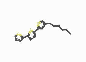 CCCCCCc1csc(-c2ccc(-c3cccs3)s2)c1